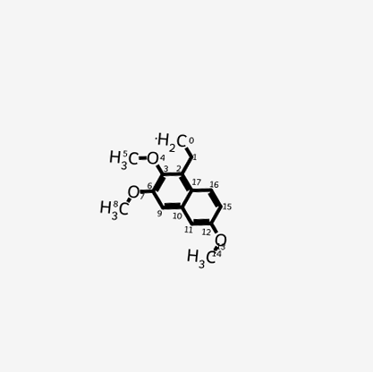 [CH2]Cc1c(OC)c(OC)cc2cc(OC)ccc12